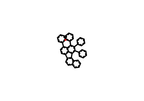 c1ccc(-c2c(-c3ccccc3)c3c4c(ccc(-c5ccccc5)c4c2-c2ccccc2)-c2ccc4ccccc4c2-3)cc1